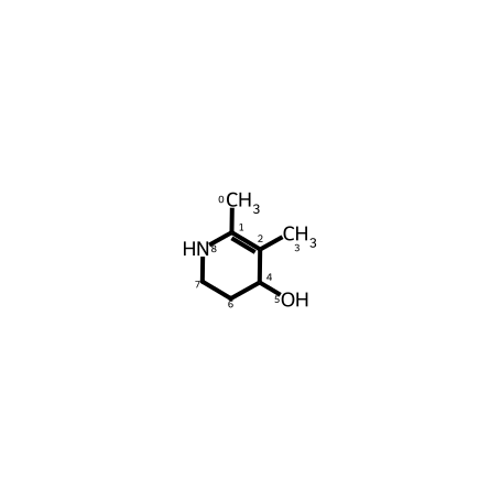 CC1=C(C)C(O)CCN1